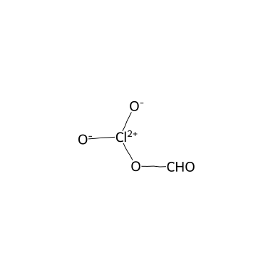 O=CO[Cl+2]([O-])[O-]